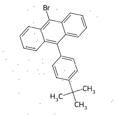 CC(C)(C)c1ccc(-c2c3ccccc3c(Br)c3ccccc23)cc1